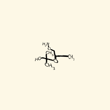 CC(CON)OC(C)(C)O